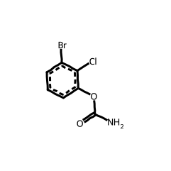 NC(=O)Oc1cccc(Br)c1Cl